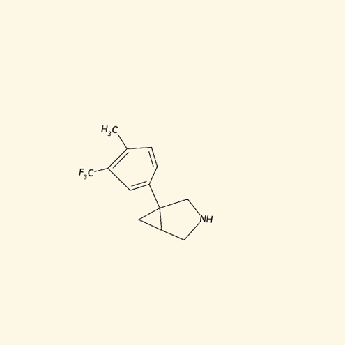 Cc1ccc(C23CNCC2C3)cc1C(F)(F)F